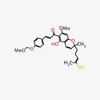 COCOc1ccc(/C=C/C(=O)c2c(OC)cc3c(c2O)C=CC(C)(CC/C=C(\C)S)O3)cc1